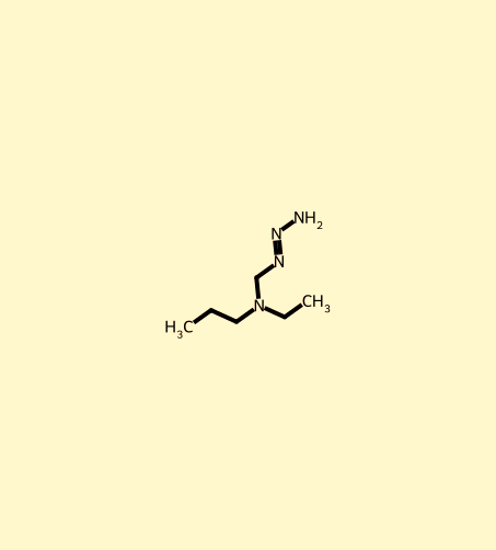 CCCN(CC)CN=NN